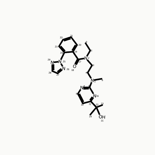 CCN(CCN(C)c1nccc(C(C)(C)O)n1)C(=O)c1ccccc1-n1nccn1